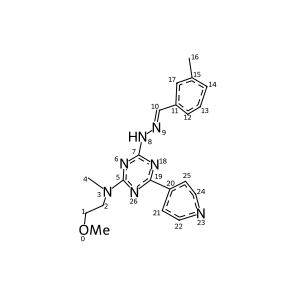 COCCN(C)c1nc(N/N=C/c2cccc(C)c2)nc(-c2ccncc2)n1